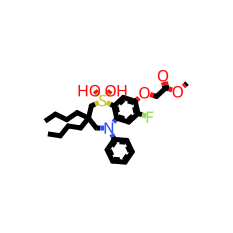 CCCCC1(CCCC)CN(c2ccccc2)c2cc(F)c(OCC(=O)OC)cc2S(O)(O)C1